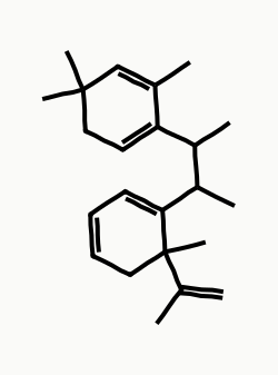 C=C(C)C1(C)CC=CC=C1C(C)C(C)C1=CCC(C)(C)C=C1C